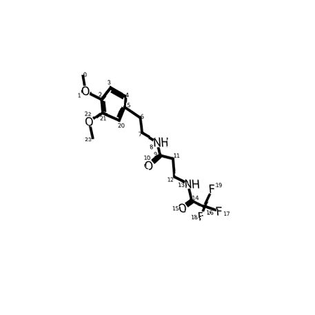 COc1ccc(CCNC(=O)CCNC(=O)C(F)(F)F)cc1OC